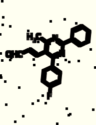 Cc1nc(-c2ccccc2)nc(-c2ccc(F)cc2)c1/C=C/C=O